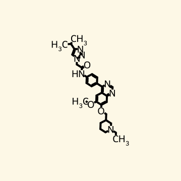 CCN1CCCC(COc2cc3ncnc(-c4ccc(NC(=O)Cn5cc(C(C)C)nn5)cc4)c3cc2OC)C1